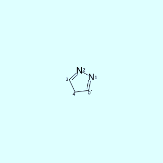 [C]1=NN=CC1